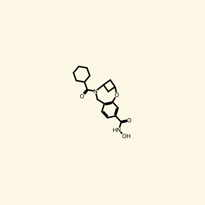 O=C(NO)c1ccc2c(c1)OC1CC(C1)N(C(=O)C1CCCCC1)C2